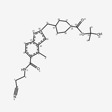 Cc1c(C(=O)NCCC#N)ccc2nn(CC3CCN(C(=O)OC(C)(C)O)CC3)cc12